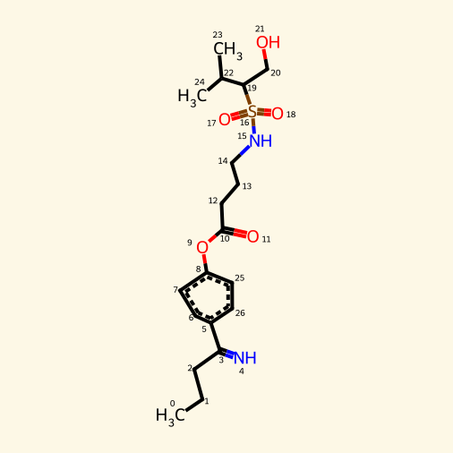 CCCC(=N)c1ccc(OC(=O)CCCNS(=O)(=O)C(CO)C(C)C)cc1